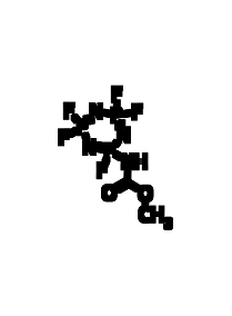 COC(=O)NP1(F)=NP(F)(F)=NP(F)(F)=N1